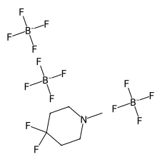 CN1CCC(F)(F)CC1.F[B-](F)(F)F.F[B-](F)(F)F.F[B-](F)(F)F